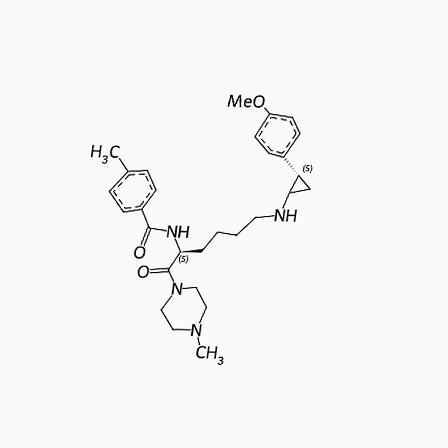 COc1ccc([C@@H]2CC2NCCCC[C@H](NC(=O)c2ccc(C)cc2)C(=O)N2CCN(C)CC2)cc1